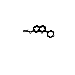 O=COc1ccc2ccc(C3CCOCC3)nc2c1